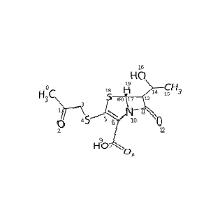 CC(=O)CSC1=C(C(=O)O)N2C(=O)C(C(C)O)[C@H]2S1